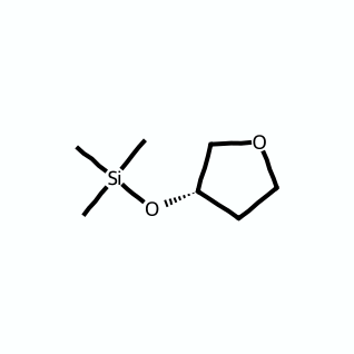 C[Si](C)(C)O[C@H]1CCOC1